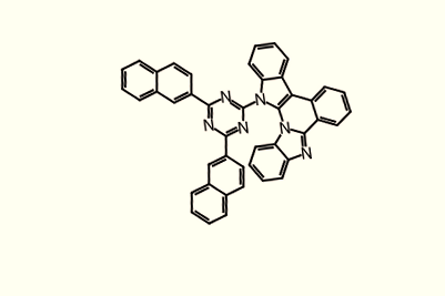 c1ccc2cc(-c3nc(-c4ccc5ccccc5c4)nc(-n4c5ccccc5c5c6ccccc6c6nc7ccccc7n6c54)n3)ccc2c1